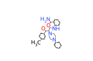 Cc1ccc(C(=O)C(CNc2ccccc2C(N)=O)N2CCN(c3ccccc3)CC2)cc1